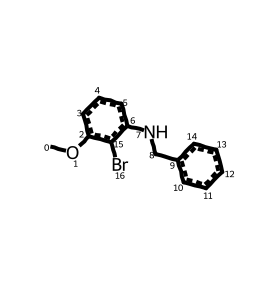 COc1cccc(NCc2ccccc2)c1Br